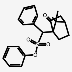 CC1(C)C2CCC1(C(c1ccccc1)S(=O)(=O)Oc1ccccc1)C(=O)C2